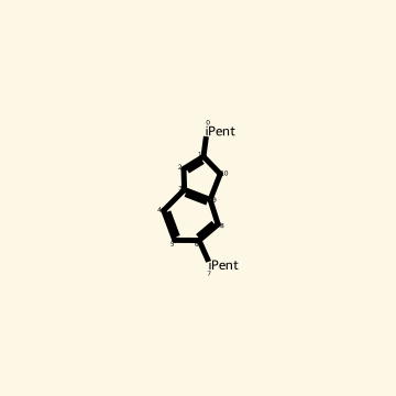 CCCC(C)C1=Cc2ccc(C(C)CCC)cc2C1